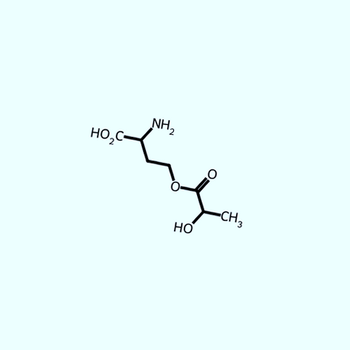 CC(O)C(=O)OCCC(N)C(=O)O